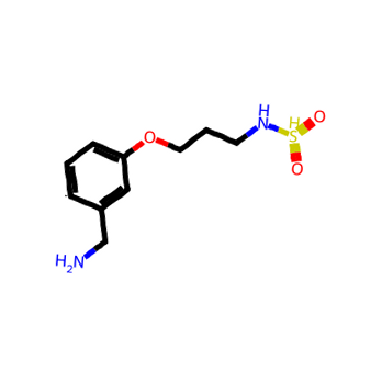 NCc1[c]ccc(OCCCN[SH](=O)=O)c1